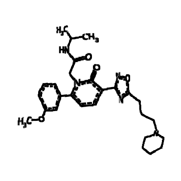 COc1cccc(-c2ccc(-c3noc(CCCN4CCCCC4)n3)c(=O)n2CC(=O)NC(C)C)c1